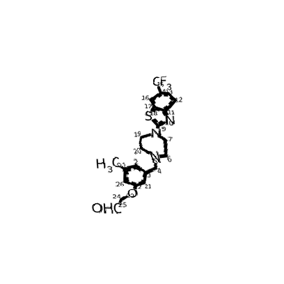 Cc1cc(CN2CCN(c3nc4ccc(C(F)(F)F)cc4s3)CC2)cc(OCC=O)c1